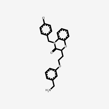 NCc1cccc(OCCC2Oc3ccccc3N(Cc3ccc(Cl)cc3)C2=O)c1